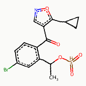 CC(O[SH](=O)=O)c1cc(Br)ccc1C(=O)c1cnoc1C1CC1